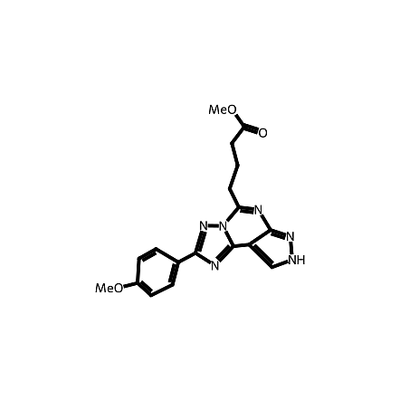 COC(=O)CCCc1nc2n[nH]cc2c2nc(-c3ccc(OC)cc3)nn12